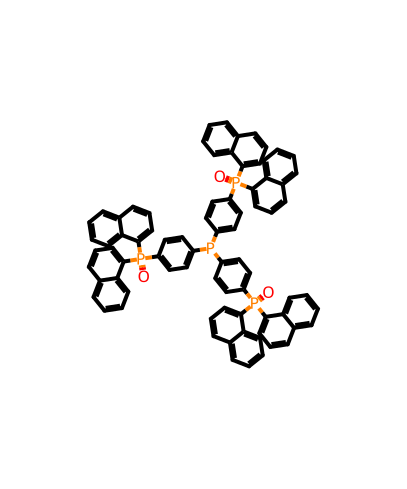 O=P(c1ccc(P(c2ccc(P(=O)(c3cccc4ccccc34)c3cccc4ccccc34)cc2)c2ccc(P(=O)(c3cccc4ccccc34)c3cccc4ccccc34)cc2)cc1)(c1cccc2ccccc12)c1cccc2ccccc12